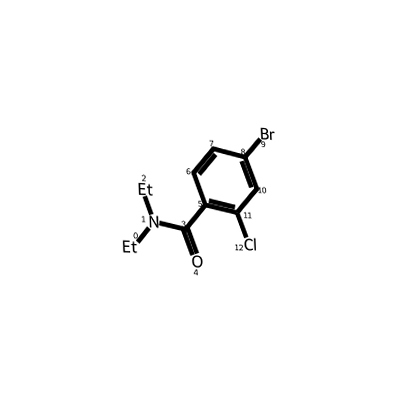 CCN(CC)C(=O)c1ccc(Br)cc1Cl